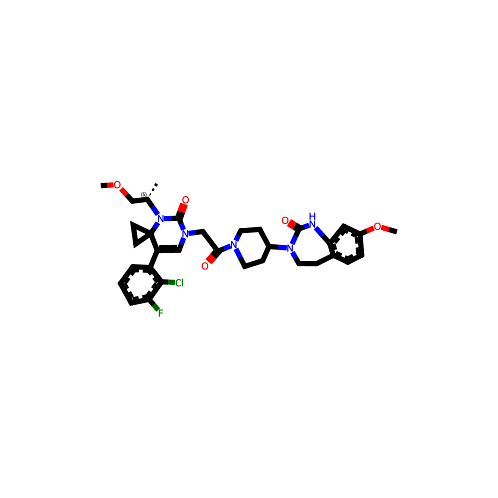 COC[C@H](C)N1C(=O)N(CC(=O)N2CCC(N3CCc4ccc(OC)cc4NC3=O)CC2)C=C(c2cccc(F)c2Cl)C12CC2